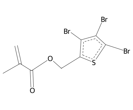 C=C(C)C(=O)OCc1sc(Br)c(Br)c1Br